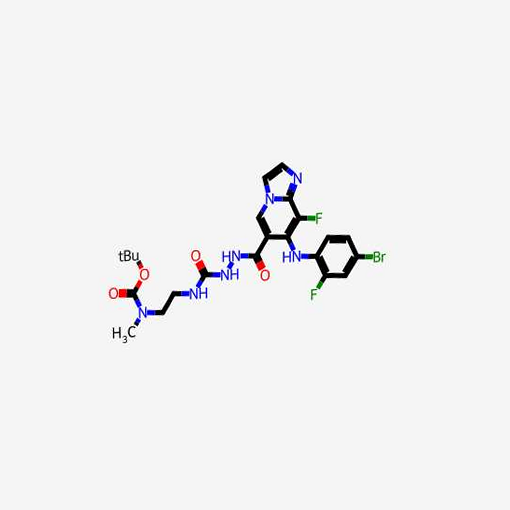 CN(CCNC(=O)NNC(=O)c1cn2ccnc2c(F)c1Nc1ccc(Br)cc1F)C(=O)OC(C)(C)C